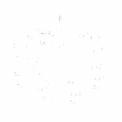 CCS[C@@H]1OC(CO[C@@H]2OC(CO[C@@H]3O[C@H](CO[C@@H]4OC(CO[C@@H]5O[C@H](CO[C@@H]6O[C@H](COC(C)=O)[C@@H](OC(C)=O)[C@H](OC(C)=O)[C@H]6OC(C)=O)[C@@H](OC(C)=O)[C@H](OC(C)=O)[C@H]5OC(C)=O)[C@@H](OC(C)=O)[C@H](OC(C)=O)[C@H]4OC(C)=O)[C@@H](OC(C)=O)[C@H](OC(C)=O)[C@H]3OC(C)=O)[C@@H](OC(C)=O)[C@H](OC(C)=O)[C@H]2OC(C)=O)[C@@H](OC(C)=O)[C@H](OC(C)=O)[C@H]1OC(C)=O